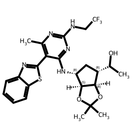 Cc1nc(NCC(F)(F)F)nc(N[C@@H]2C[C@H](C(C)O)[C@H]3OC(C)(C)O[C@H]32)c1-c1nc2ccccc2s1